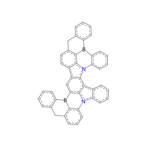 c1ccc2c(c1)Cc1cccc3c1B2c1cc2c4ccc5c6c4n(c2c2c4ccccc4n-3c12)-c1ccccc1B6c1ccccc1C5